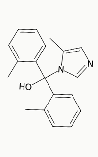 Cc1ccccc1C(O)(c1ccccc1C)n1cncc1C